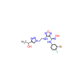 CC(O)c1cn(CCNc2nonc2C(=NO)Nc2ccc(F)c(Br)c2)nn1